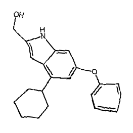 OCc1cc2c(C3CCCCC3)cc(Oc3ccccc3)cc2[nH]1